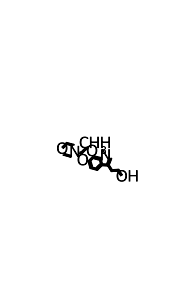 C[C@@H](Oc1cccc2c(CCO)c[nH]c12)C(=O)N1CCOCC1